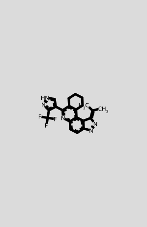 CC(C)=C1N=Nc2ccc3nc(-c4c[nH]nc4C(F)(F)F)c4c(c3c21)CCCC4